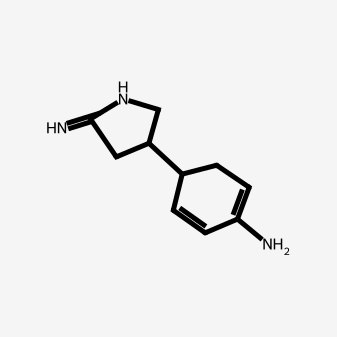 N=C1CC(C2C=CC(N)=CC2)CN1